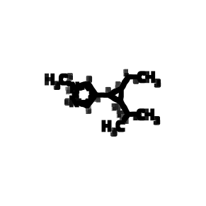 CCC1C(c2cnn(C)c2)C1C(C)C